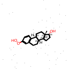 C[C@]12CC[C@@H]3c4ccc(OO)cc4CC[C@H]3[C@@H]1CC[C@H]2O